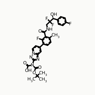 Cc1ccc(-c2ccn3nc(N(C(=O)O)C(=O)OC(C)(C)C)nc3c2)c(F)c1C(=O)NCC(F)(F)[C@@H](O)c1ccc(F)cc1